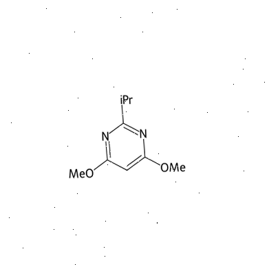 COc1cc(OC)nc(C(C)C)n1